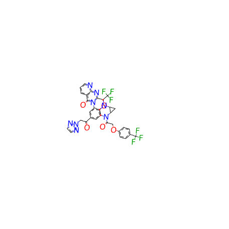 O=C(Cn1nccn1)c1ccc(OCC(F)(F)F)c(-n2c(CN3CCN(C(=O)COc4ccc(C(F)(F)F)cc4)C4CC43)nc3ncccc3c2=O)c1